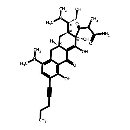 CCCC#Cc1cc(N(C)C)c2c(c1O)C(=O)C1=C(O)[C@](O)(C(=O)C(C)C(N)=O)[C@H]([C@@H](CO)N(C)C)C[C@@H]1C2